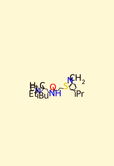 C=Nc1ccc(C(C)C)cc1SCCCC(=O)NC(CC(=C)CN(CC)CC)C(C)CC